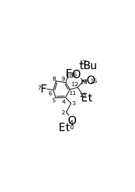 CCOCCc1cc(F)cc(F)c1C(CC)C(=O)OC(C)(C)C